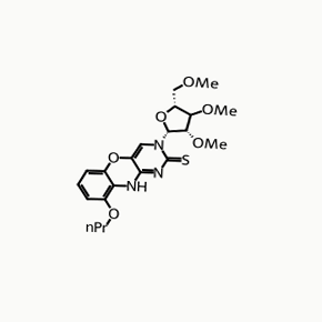 CCCOc1cccc2c1Nc1nc(=S)n([C@@H]3O[C@H](COC)C(OC)[C@@H]3OC)cc1O2